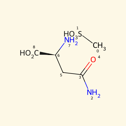 CS(=O)(=O)O.NC(=O)C[C@H](N)C(=O)O